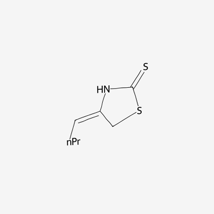 CCC/C=C1\CSC(=S)N1